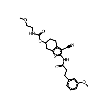 COCCNC(=O)OC1CCc2c(sc(NC(=O)CCc3cccc(OC)c3)c2C#N)C1